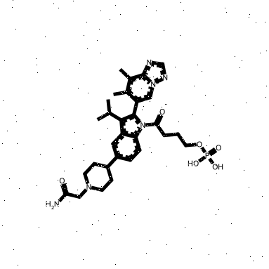 Cc1c(-c2c(C(C)C)c3cc(C4CCN(CC(N)=O)CC4)ccc3n2C(=O)CCCOP(=O)(O)O)cn2ncnc2c1C